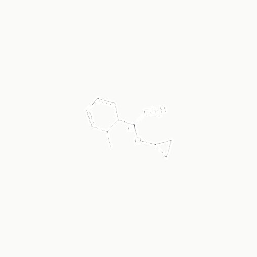 CC1C=CC=CC1[C@@H](OC1CC1)C(=O)O